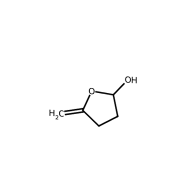 C=C1CCC(O)O1